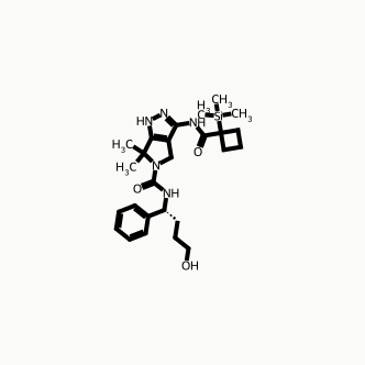 CC1(C)c2[nH]nc(NC(=O)C3([Si](C)(C)C)CCC3)c2CN1C(=O)N[C@H](CCCO)c1ccccc1